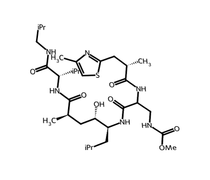 COC(=O)NCC(NC(=O)[C@@H](C)Cc1nc(C)cs1)C(=O)N[C@@H](CC(C)C)[C@@H](O)C[C@@H](C)C(=O)N[C@H](C(=O)NCC(C)C)C(C)C